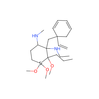 C=CC1(CC2(NCC)C(NC)CC[Si](OC)(OC)C2(CCC)OC)C=CC=CC1